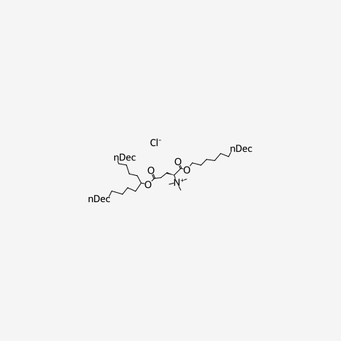 CCCCCCCCCCCCCCCCOC(=O)[C@H](CCC(=O)OC(CCCCCCCCCCCCCC)CCCCCCCCCCCCCC)[N+](C)(C)C.[Cl-]